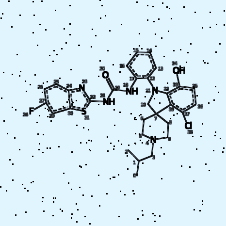 CC(C)CN1CCC2(CC1)CN(c1ccccc1NC(=O)Nc1nc3ccc(F)cc3s1)c1c(O)ccc(Cl)c12